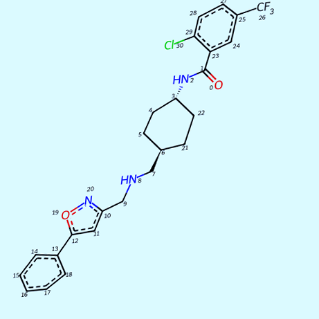 O=C(N[C@H]1CC[C@H](CNCc2cc(-c3ccccc3)on2)CC1)c1cc(C(F)(F)F)ccc1Cl